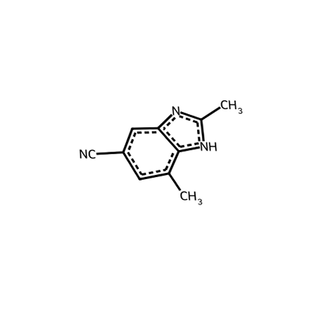 Cc1nc2cc(C#N)cc(C)c2[nH]1